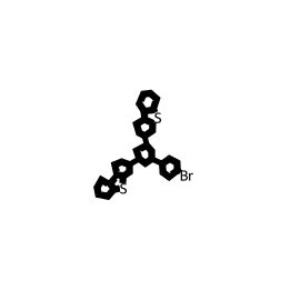 Brc1ccc(-c2cc(-c3ccc4c(c3)sc3ccccc34)cc(-c3ccc4c(c3)sc3ccccc34)c2)cc1